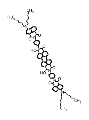 CCCCCCN(CCCCCC)c1ccc2c3c(cccc13)C(=O)N(c1ccc(N3C(=O)c4ccc5c6ccc7c8c(ccc(c9ccc(c4c59)C3O)c86)C(O)N(c3ccc(N4C(=O)c5cccc6c(N(CCCCCC)CCCCCC)ccc(c56)C4=O)cc3)C7=O)cc1)C2=O